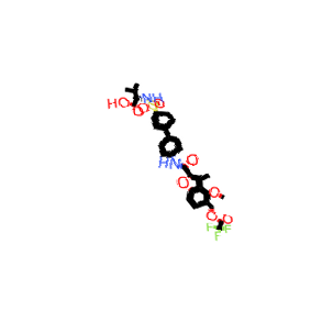 COc1c(COC(=O)C(F)(F)F)ccc2oc(C(=O)Nc3ccc(-c4ccc(S(=O)(=O)N[C@H](C(=O)O)C(C)C)cc4)cc3)c(C)c12